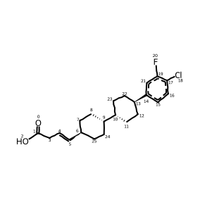 O=C(O)CC=C[C@H]1CC[C@H]([C@H]2CC[C@H](c3ccc(Cl)c(F)c3)CC2)CC1